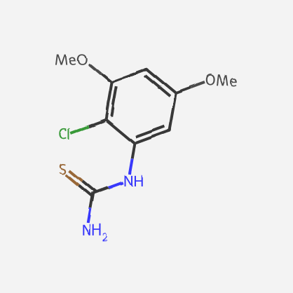 COc1cc(NC(N)=S)c(Cl)c(OC)c1